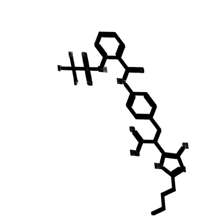 CCCCc1nc(Cl)c(C(Cc2ccc(NC(=O)c3ccccc3NS(=O)(=O)C(F)(F)F)cc2)C(=O)O)[nH]1